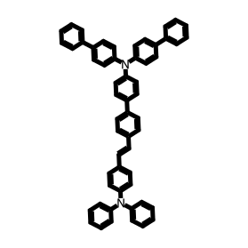 C(=C\c1ccc(N(c2ccccc2)c2ccccc2)cc1)/c1ccc(-c2ccc(N(c3ccc(-c4ccccc4)cc3)c3ccc(-c4ccccc4)cc3)cc2)cc1